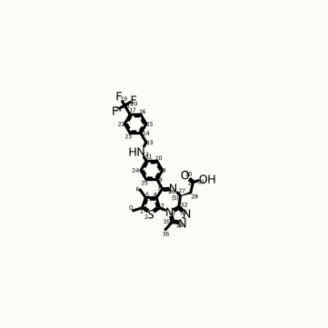 Cc1sc2c(c1C)C(c1ccc(NCc3ccc(C(F)(F)F)cc3)cc1)=N[C@@H](CC(=O)O)c1nnc(C)n1-2